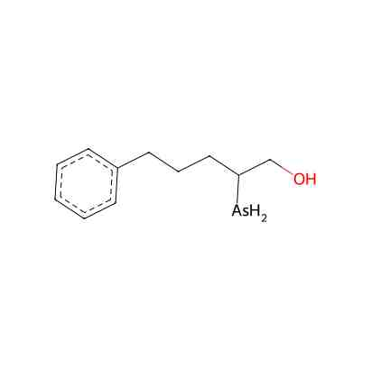 OCC([AsH2])CCCc1ccccc1